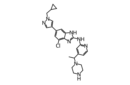 CC(c1ccnc(Nc2nc3c(Cl)cc(-c4cnn(CC5CC5)c4)cc3[nH]2)c1)N1CCNCC1